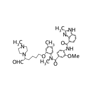 COc1cc(C(=O)N(C)c2ccc(C)cc2OCCCCC(C=O)N2CCN(C)CC2)ccc1NC(=O)c1cccc2[nH]c(C)nc12